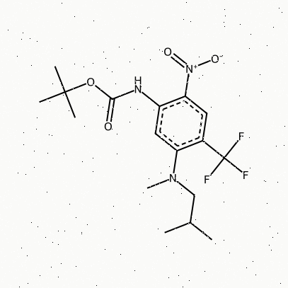 CC(C)CN(C)c1cc(NC(=O)OC(C)(C)C)c([N+](=O)[O-])cc1C(F)(F)F